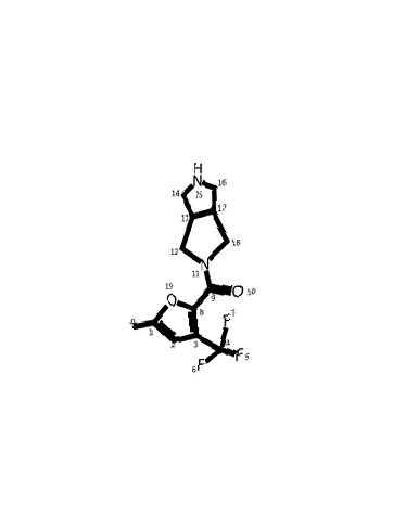 Cc1cc(C(F)(F)F)c(C(=O)N2CC3CNCC3C2)o1